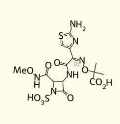 CONC(=O)C1C(NC(=O)/C(=N\OC(C)(C)C(=O)O)c2csc(N)n2)C(=O)N1S(=O)(=O)O